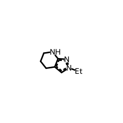 CCn1cc2c(n1)NCCC2